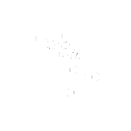 OC[C@H]1O[C@@H](n2cnc3c2ncn2c(-c4ccc(OCc5ccccc5)c(OCc5ccccc5)c4)nnc32)[C@H](O)[C@@H]1O